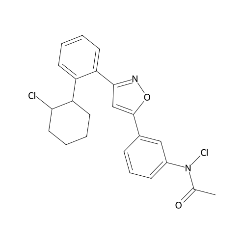 CC(=O)N(Cl)c1cccc(-c2cc(-c3ccccc3C3CCCCC3Cl)no2)c1